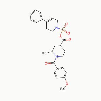 CC1CC(C(=O)OS(=O)(=O)N2CC=C(c3ccccc3)CC2)CCN1C(=O)c1ccc(OC(F)(F)F)cc1